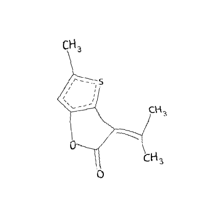 CC(C)=C1C(=O)Oc2cc(C)sc21